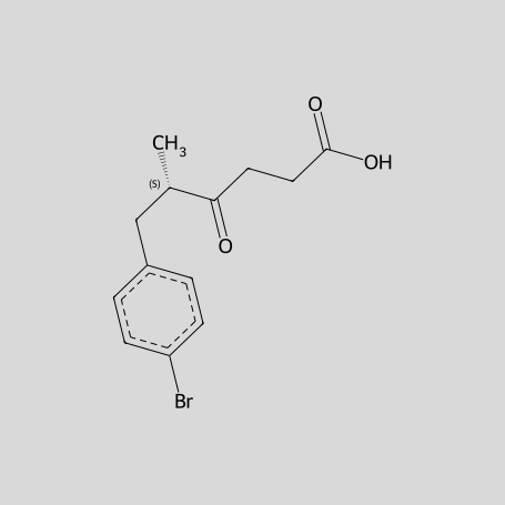 C[C@@H](Cc1ccc(Br)cc1)C(=O)CCC(=O)O